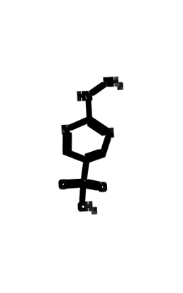 CS(=O)(=O)c1cnc(NN)nc1